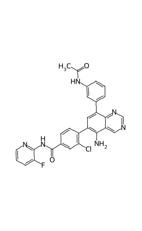 CC(=O)Nc1cccc(-c2cc(-c3ccc(C(=O)Nc4ncccc4F)cc3Cl)c(N)c3cncnc23)c1